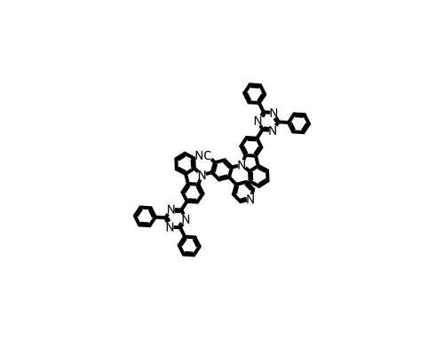 N#Cc1cc(-n2c3ccccc3c3cc(-c4nc(-c5ccccc5)nc(-c5ccccc5)n4)ccc32)c(-c2ccncc2)cc1-n1c2ccccc2c2cc(-c3nc(-c4ccccc4)nc(-c4ccccc4)n3)ccc21